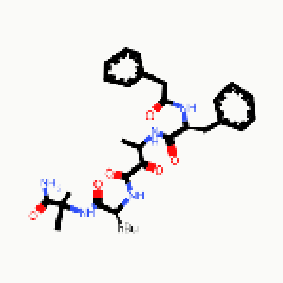 CCCC[C@H](NC(=O)C(=O)C(C)NC(=O)[C@H](Cc1ccccc1)NC(=O)Cc1ccccc1)C(=O)NC(C)(C)C(N)=O